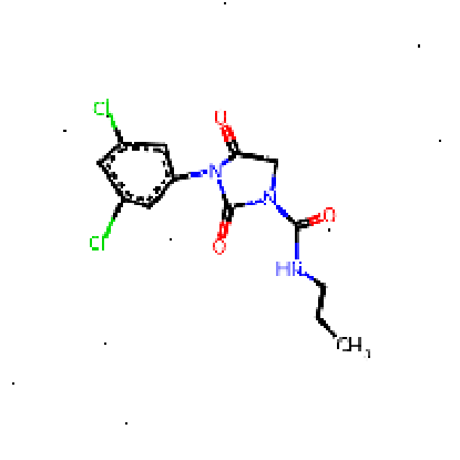 CCCNC(=O)N1CC(=O)N(c2cc(Cl)cc(Cl)c2)C1=O